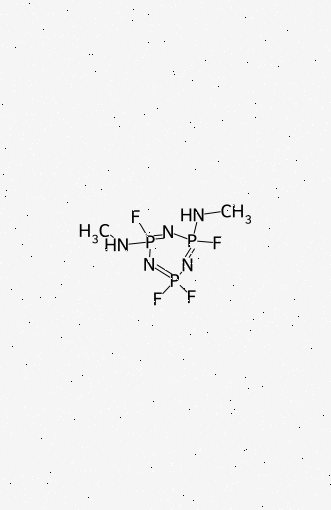 CNP1(F)=NP(F)(F)=NP(F)(NC)=N1